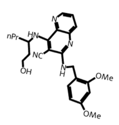 CCCC(CCO)Nc1c(C#N)c(NCc2ccc(OC)cc2OC)nc2cccnc12